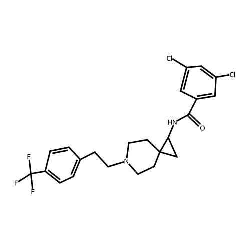 O=C(NC1CC12CCN(CCc1ccc(C(F)(F)F)cc1)CC2)c1cc(Cl)cc(Cl)c1